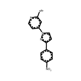 CCCc1cc(-n2ccc(-c3ccc([N+](=O)[O-])cc3)n2)ccn1